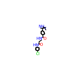 CC1(C)CC1(CN)c1ccc(C(=O)NCCC(=O)Nc2ccc(Cl)cc2)cc1